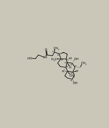 CC[C@H]1[C@@H](O)[C@@H]2[C@H](CC[C@]3(C)[C@@H]([C@H](C)CC(=O)NCCO)CC[C@@H]23)[C@@]2(C)CC[C@@H](O)C[C@@H]12